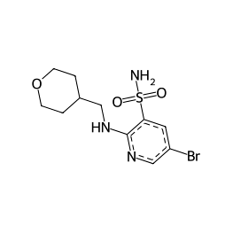 NS(=O)(=O)c1cc(Br)cnc1NCC1CCOCC1